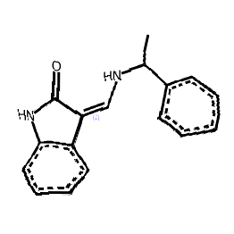 CC(N/C=C1\C(=O)Nc2ccccc21)c1ccccc1